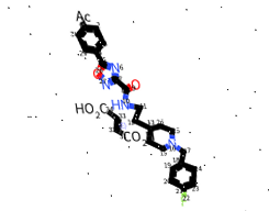 CC(=O)c1ccc(-c2nc(C(=O)NCCC3CCN(Cc4ccc(F)cc4)CC3)no2)cc1.O=C(O)/C=C/C(=O)O